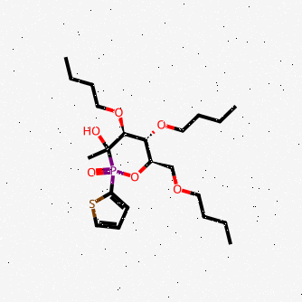 CCCCOC[C@H]1OP(=O)(c2cccs2)C(C)(O)[C@@H](OCCCC)[C@@H]1OCCCC